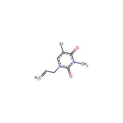 C=CCn1cc(CC)c(=O)n(C)c1=O